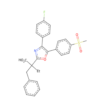 CCC(Cc1ccccc1)(C(=O)O)c1nc(-c2ccc(F)cc2)c(-c2ccc(S(C)(=O)=O)cc2)o1